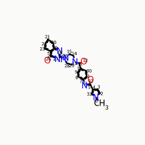 Cn1ccc(-c2nc3ccc(C(=O)N4CCN(c5nc6ccccc6c(=O)[nH]5)CC4)cc3o2)c1